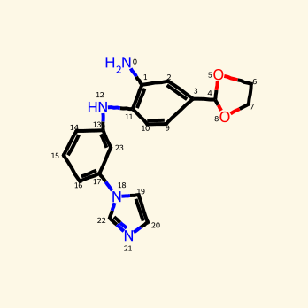 Nc1cc(C2OCCO2)ccc1Nc1cccc(-n2ccnc2)c1